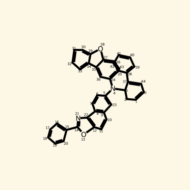 C1=CCC(N(c2ccc3c(ccc4oc(-c5ccccc5)nc43)c2)c2ccc3oc4ccccc4c3c2)C(c2ccccc2)=C1